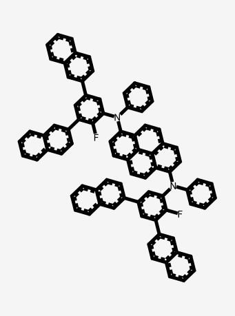 Fc1c(-c2ccc3ccccc3c2)cc(-c2ccc3ccccc3c2)cc1N(c1ccccc1)c1ccc2ccc3c(N(c4ccccc4)c4cc(-c5ccc6ccccc6c5)cc(-c5ccc6ccccc6c5)c4F)ccc4ccc1c2c43